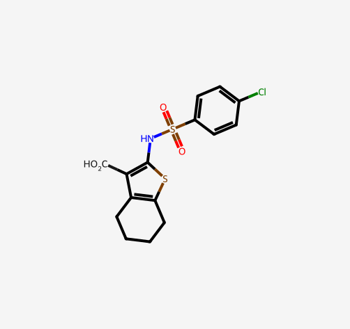 O=C(O)c1c(NS(=O)(=O)c2ccc(Cl)cc2)sc2c1CCCC2